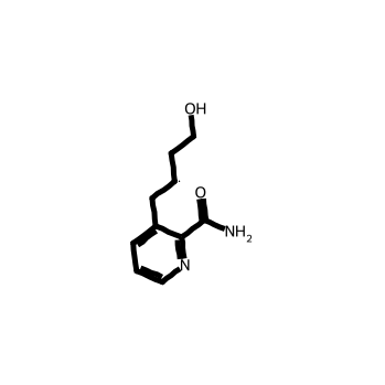 NC(=O)c1ncccc1C[CH]CCO